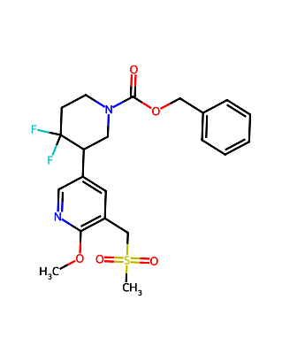 COc1ncc(C2CN(C(=O)OCc3ccccc3)CCC2(F)F)cc1CS(C)(=O)=O